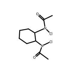 CC(=O)N(Cl)C1CCCCC1N(Cl)C(C)=O